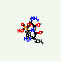 C[C@H](N)C(=O)N(C(=O)CN)[C@@H](C)P(=O)(O)O